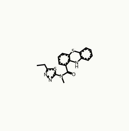 CCc1nnc(N(C)C(=O)c2cccc3c2Nc2ccccc2S3)s1